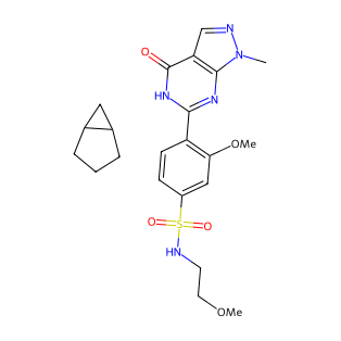 C1CC2CC2C1.COCCNS(=O)(=O)c1ccc(-c2nc3c(cnn3C)c(=O)[nH]2)c(OC)c1